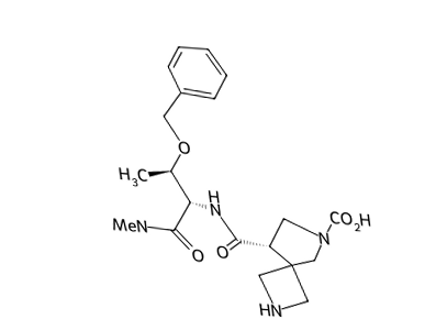 CNC(=O)[C@@H](NC(=O)[C@@H]1CN(C(=O)O)CC12CNC2)[C@@H](C)OCc1ccccc1